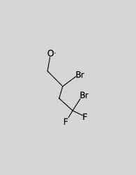 [O]CC(Br)CC(F)(F)Br